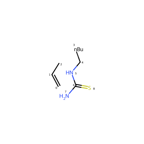 C=CC.CCCCCNC(N)=S